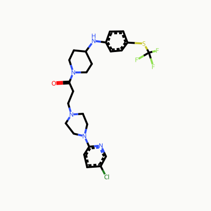 O=C(CCN1CCN(c2ccc(Cl)cn2)CC1)N1CCC(Nc2ccc(SC(F)(F)F)cc2)CC1